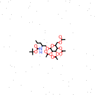 CCCC(COC1OC(COC(C)=O)C(OC(C)=O)C(OC(C)=O)C1OC(C)=O)NC(=O)OC(C)(C)C